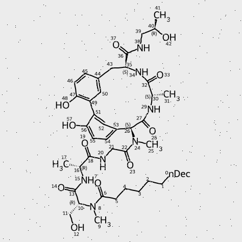 CCCCCCCCCCCCCCCC(=O)N(C)[C@H](CO)C(=O)N[C@H](C)C(=O)NCC(=O)N(C)[C@@H]1C(=O)N[C@@H](C)C(=O)N[C@H](C(=O)NC[C@@H](C)O)Cc2ccc(O)c(c2)-c2cc1ccc2O